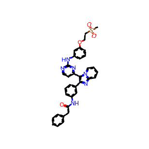 CS(=O)(=O)CCOc1cccc(Nc2nccc(-c3c(-c4cccc(NC(=O)Cc5ccccc5)c4)nc4ccccn34)n2)c1